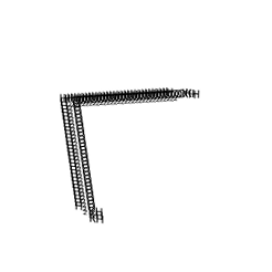 O.O.O.O.O.O.O.O.O.O.O.O.O.O.O.O.O.O.O.O.O.O.O.O.O.O.O.O.O.O.O.O.O.O.O.O.O.O.O.O.O.O.O.O.O.O.O.O.O.O.O.O.O.O.O.O.O.O.O.O.O.[KH].[KH].[KH].[KH].[KH]